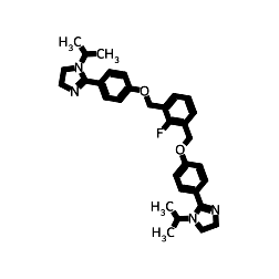 CC(C)N1CCN=C1c1ccc(OCc2cccc(COc3ccc(C4=NCCN4C(C)C)cc3)c2F)cc1